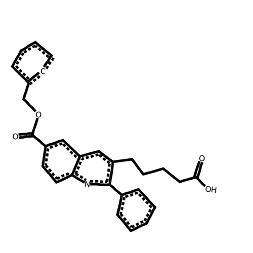 O=C(O)CCCCc1cc2cc(C(=O)OCc3ccccc3)ccc2nc1-c1ccccc1